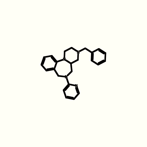 c1ccc(CN2CCN3c4ccccc4CN(c4ccccn4)CC3C2)cc1